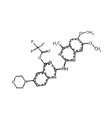 COc1cc2nc(Nc3nc(OC(=O)C(F)(F)F)c4cc(N5CCOCC5)ccc4n3)nc(C)c2cc1OC